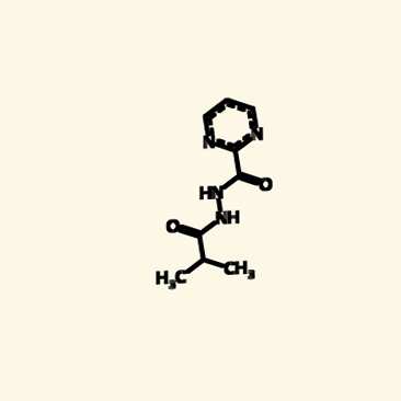 CC(C)C(=O)NNC(=O)c1ncccn1